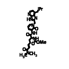 COC(=O)NC(CC/C=C/C(=O)N(C)C)C(=O)Nc1cccn(Cc2nc3c(CC(C)C)ccnc3[nH]2)c1=O